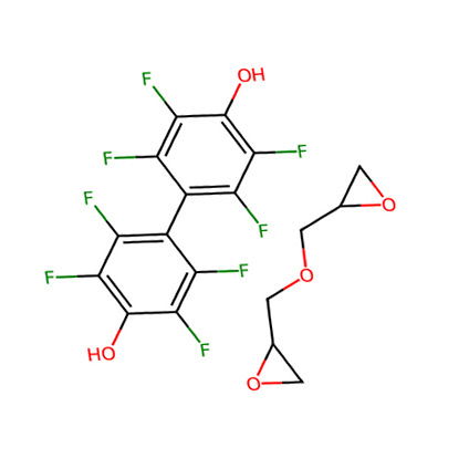 C(OCC1CO1)C1CO1.Oc1c(F)c(F)c(-c2c(F)c(F)c(O)c(F)c2F)c(F)c1F